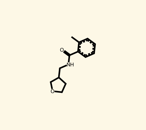 Cc1ccccc1C(=O)NCC1CCOC1